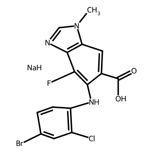 Cn1cnc2c(F)c(Nc3ccc(Br)cc3Cl)c(C(=O)O)cc21.[NaH]